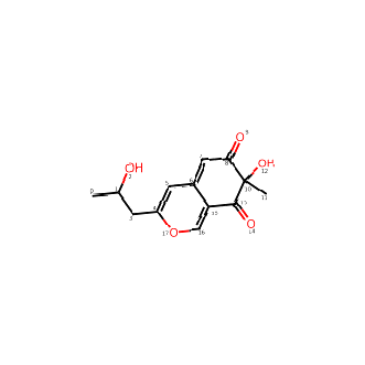 CC(O)CC1=CC2=CC(=O)C(C)(O)C(=O)C2=CO1